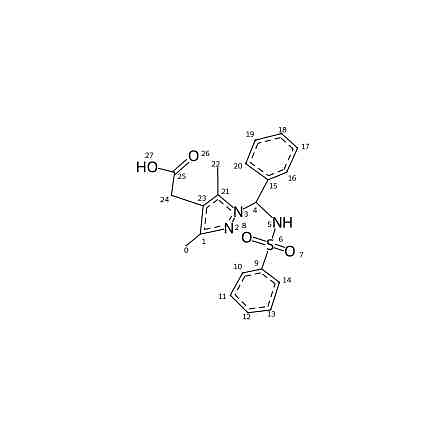 Cc1nn(C(NS(=O)(=O)c2ccccc2)c2ccccc2)c(C)c1CC(=O)O